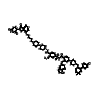 CC1(C)CCC(CN2CCN(c3ccc(C(=O)NS(=O)(=O)c4ccc(NC[C@H]5CC[C@@H](N6CCN(CCCCSc7cccc8c7CN(C7CCC(=O)NC7=O)C8=O)CC6)CC5)c([N+](=O)[O-])c4)c(Oc4cnc5[nH]ccc5c4)c3)CC2)=C(c2ccc(Cl)cc2)C1